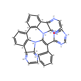 c1ccc(C(c2ncncn2)=c2n3c4nccnc4c4cccc(c5cccc6c7nccnc7n2c56)c43)cc1